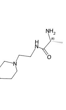 C[C@@H](N)C(=O)NCCN1CCCCC1